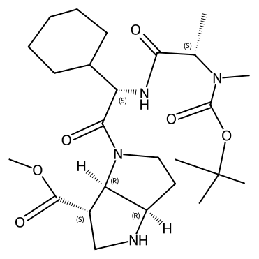 COC(=O)[C@H]1CN[C@@H]2CCN(C(=O)[C@@H](NC(=O)[C@H](C)N(C)C(=O)OC(C)(C)C)C3CCCCC3)[C@H]12